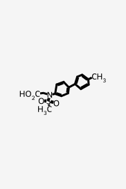 Cc1ccc(-c2ccc(N(CC(=O)O)S(C)(=O)=O)cc2)cc1